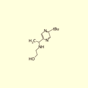 CC(NCCO)c1cnc(C(C)(C)C)cn1